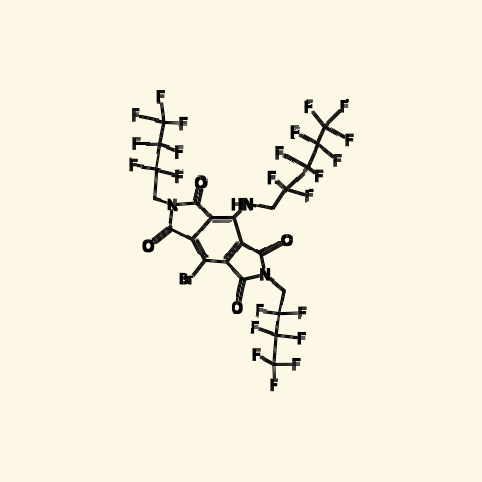 O=c1c2c(Br)c3c(=O)n(CC(F)(F)C(F)(F)C(F)(F)F)c(=O)c3c(NCC(F)(F)C(F)(F)C(F)(F)C(F)(F)F)c2c(=O)n1CC(F)(F)C(F)(F)C(F)(F)F